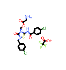 NCC(=O)OCN1C(=O)N(Cc2ccc(Cl)cc2)SC1NC(=O)c1ccc(Cl)cc1.O=C(O)C(F)(F)F